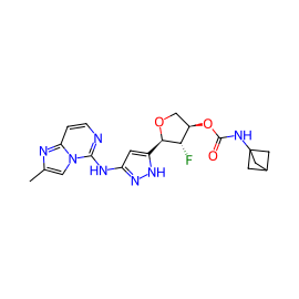 Cc1cn2c(Nc3cc([C@H]4OC[C@@H](OC(=O)NC56CC(C5)C6)[C@@H]4F)[nH]n3)nccc2n1